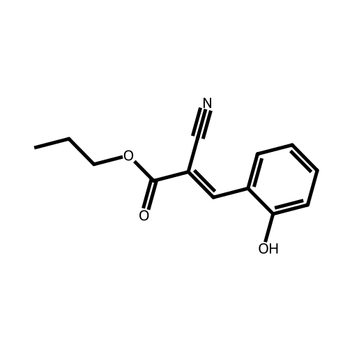 CCCOC(=O)/C(C#N)=C/c1ccccc1O